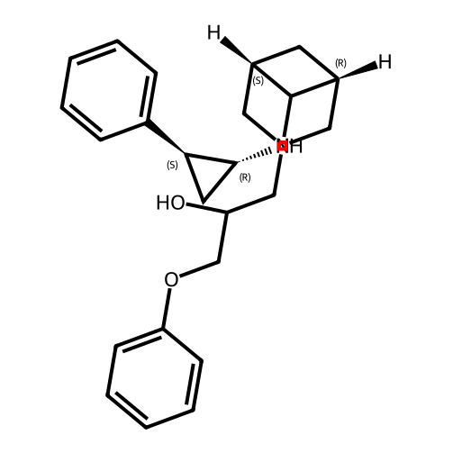 OC(COc1ccccc1)CN1C[C@H]2C[C@@H](C1)C2N[C@@H]1C[C@H]1c1ccccc1